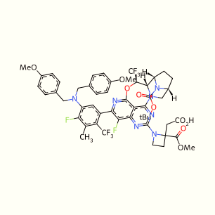 COC(=O)C1(CC(=O)O)CCN1c1nc2c3c(nc(-c4cc(N(Cc5ccc(OC)cc5)Cc5ccc(OC)cc5)c(F)c(C)c4C(F)(F)F)c(F)c3n1)O[C@@H](C(F)(F)F)[C@@H]1[C@@H]3CC[C@H](CN21)N3C(=O)OC(C)(C)C